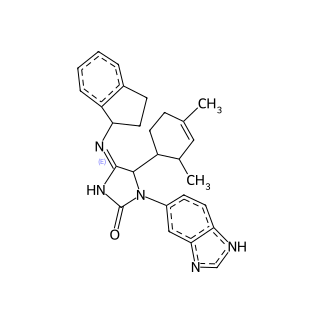 CC1=CC(C)C(C2/C(=N\C3CCc4ccccc43)NC(=O)N2c2ccc3[nH]cnc3c2)CC1